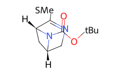 CSC1=NC[C@@H]2C[C@H]1N2C(=O)OC(C)(C)C